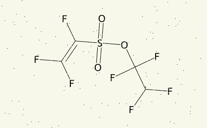 O=S(=O)(OC(F)(F)[C](F)F)C(F)=C(F)F